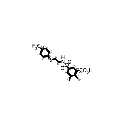 Cc1cc(S(=O)(=O)NCCSc2ccc(C(F)(F)F)cc2)cc(C(=O)O)c1C